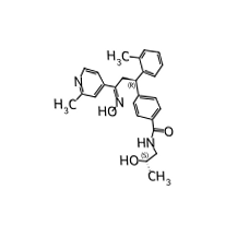 Cc1cc(C(C[C@H](c2ccc(C(=O)NC[C@H](C)O)cc2)c2ccccc2C)=NO)ccn1